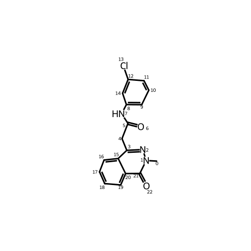 Cn1nc(CC(=O)Nc2cccc(Cl)c2)c2ccccc2c1=O